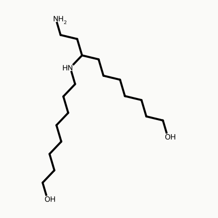 NCCC(CCCCCCCO)NCCCCCCCCO